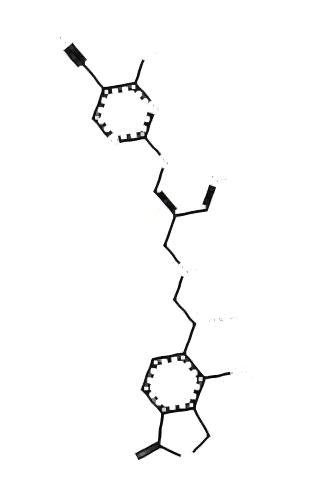 Cc1nc(N/C=C(\C=N)CNC[C@H](O)c2ccc3c(c2C)COC3=O)ncc1C#N